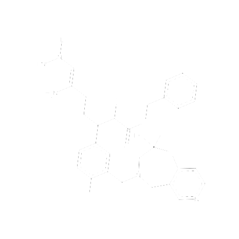 CCN(N)/C=C(\N)CCC(c1ccc(C)c(CN2Cc3cnccc3OC(C)(C)C2)c1)C(C)C(=O)OCc1ccccc1